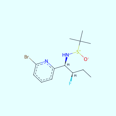 CC[C@@H](F)[C@H](N[S+]([O-])C(C)(C)C)c1cccc(Br)n1